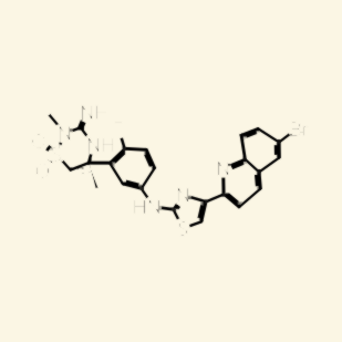 CN1C(=N)N[C@](C)(c2cc(Nc3nc(-c4ccc5cc(Br)ccc5n4)cs3)ccc2F)CS1(=O)=O